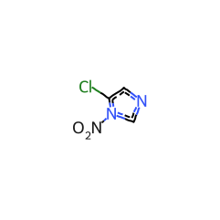 O=[N+]([O-])n1cncc1Cl